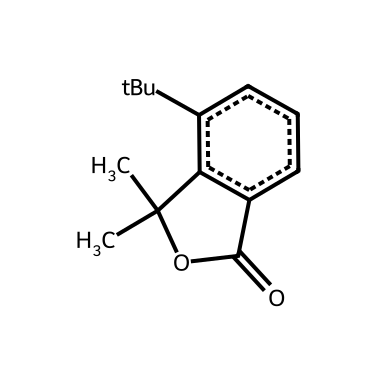 CC(C)(C)c1cccc2c1C(C)(C)OC2=O